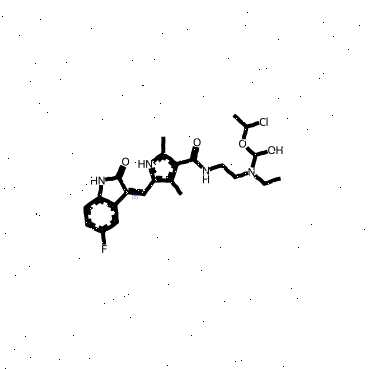 CCN(CCNC(=O)c1c(C)[nH]c(/C=C2\C(=O)Nc3ccc(F)cc32)c1C)C(O)OC(C)Cl